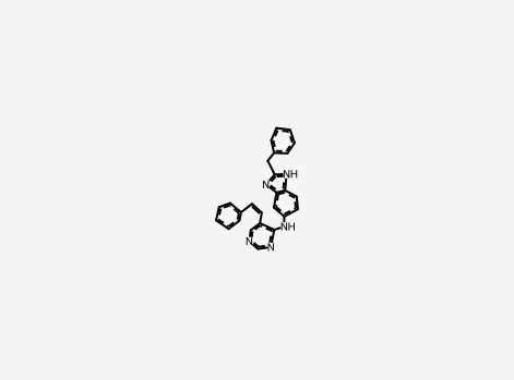 C(=Cc1cncnc1Nc1ccc2[nH]c(Cc3ccccc3)nc2c1)c1ccccc1